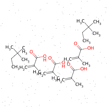 C=C(C)C(=O)O.C=C(C)C(=O)O.C=C(C)C(=O)O.C=C(C)C(=O)O.CCC(C)(C)C.CCC(C)(C)C